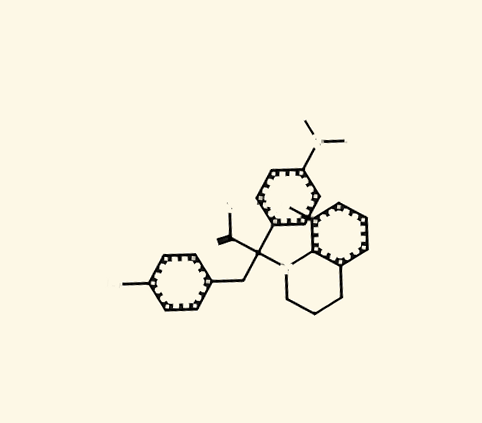 CCN(CC)c1ccc(C(Cc2ccc(C(C)(C)C)cc2)(C(N)=O)N2CCCc3cccc(C(=O)O)c32)cc1